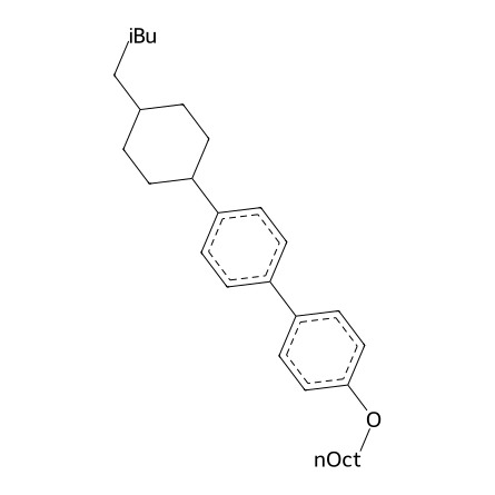 CCCCCCCCOc1ccc(-c2ccc(C3CCC(CC(C)CC)CC3)cc2)cc1